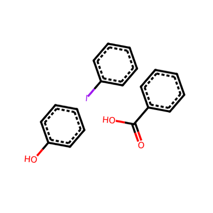 Ic1ccccc1.O=C(O)c1ccccc1.Oc1ccccc1